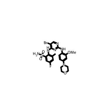 COc1cc(N2CCOCC2)ccc1Nc1ncc(Br)c(Nc2c(C)cc(F)cc2S(N)(=O)=O)n1